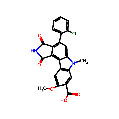 COc1cc2c3c4c(c(-c5ccccc5Cl)cc3n(C)c2cc1C(=O)O)C(=O)NC4=O